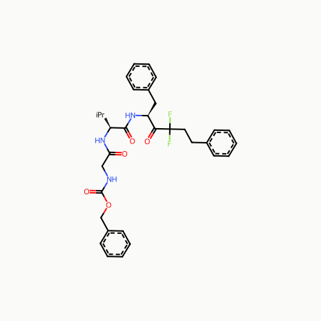 CC(C)[C@H](NC(=O)CNC(=O)OCc1ccccc1)C(=O)N[C@@H](Cc1ccccc1)C(=O)C(F)(F)CCc1ccccc1